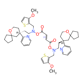 COc1ccsc1CN(CC[C@@]1(c2ccccn2)CCOC2(CCCC2)C1)OC(=O)/C=C/C(=O)ON(CC[C@@]1(c2ccccn2)CCOC2(CCCC2)C1)Cc1sccc1OC